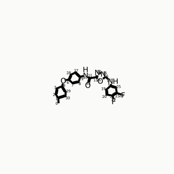 Cc1ccc(Oc2ccc(NC(=O)c3nnc(Nc4ccc(F)c(F)c4)o3)cc2)cc1